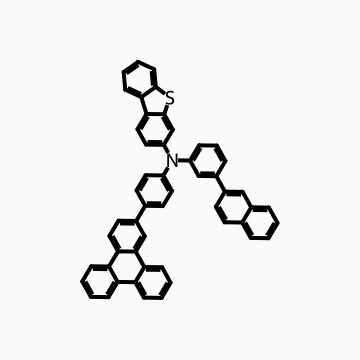 c1cc(-c2ccc3ccccc3c2)cc(N(c2ccc(-c3ccc4c5ccccc5c5ccccc5c4c3)cc2)c2ccc3c(c2)sc2ccccc23)c1